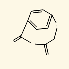 O=C1COc2ccc(cc2)C(=O)O1